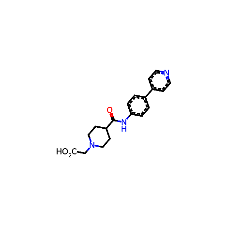 O=C(O)CN1CCC(C(=O)Nc2ccc(-c3ccncc3)cc2)CC1